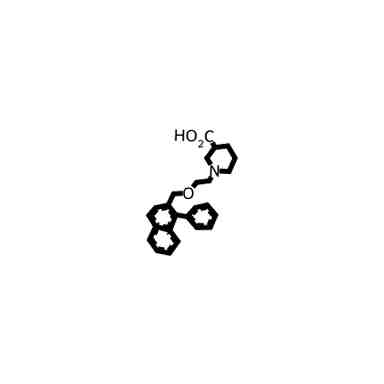 O=C(O)C1CCCN(CCOCc2ccc3ccccc3c2-c2ccccc2)C1